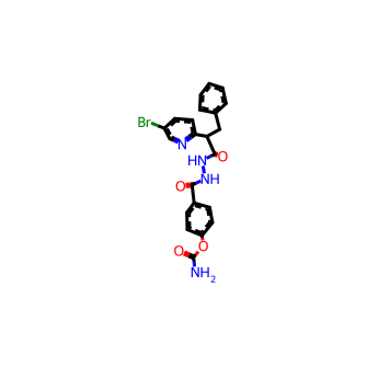 NC(=O)Oc1ccc(C(=O)NNC(=O)C(Cc2ccccc2)c2ccc(Br)cn2)cc1